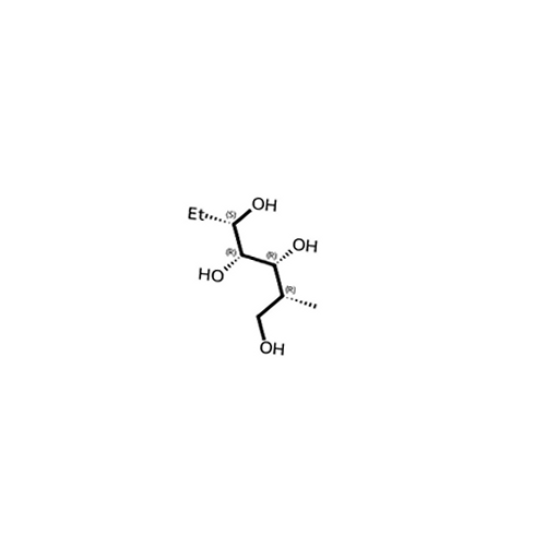 CC[C@H](O)[C@@H](O)[C@H](O)[C@H](C)CO